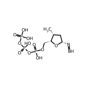 B=N[C@H]1C[C@@H](C)[C@@H](COP(=O)(O)OP(=O)(O)OP(=O)(O)O)O1